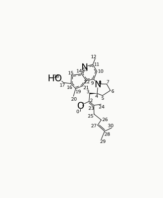 CO/C(C[C@@H]1CCCN1c1cc(C)nc2cc(CO)c(C)cc12)=C(/C)CCC=C(C)C